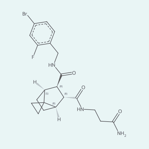 NC(=O)CCNC(=O)[C@H]1[C@H](C(=O)NCc2ccc(Br)cc2F)[C@@H]2CC[C@H]1C21CC1